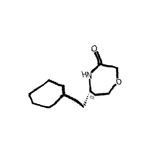 O=C1COC[C@H](CC2CCCCC2)N1